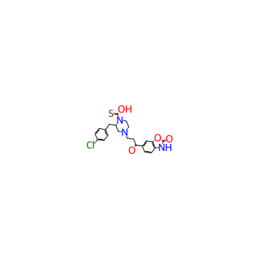 O=C(CCN1CCN(C(O)=S)C(Cc2ccc(Cl)cc2)C1)c1ccc2[nH]c(=O)oc2c1